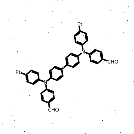 CCc1ccc(N(c2ccc(C=O)cc2)c2ccc(-c3ccc(N(c4ccc(C=O)cc4)c4ccc(CC)cc4)cc3)cc2)cc1